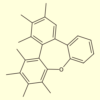 Cc1cc2c(c(C)c1C)-c1c(C)c(C)c(C)c(C)c1Oc1ccccc1-2